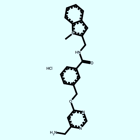 Cl.Cn1c(CNC(=O)c2cccc(COc3cc(CN)ncn3)c2)cc2ccccc21